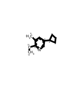 [CH2]c1cc(C2CCC2)cnc1OC